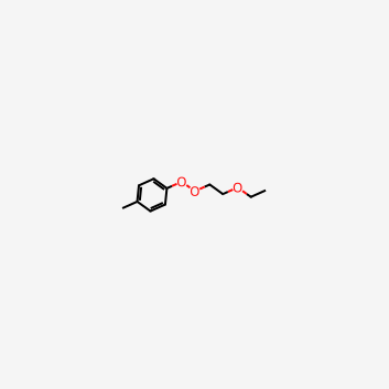 CCOCCOOc1ccc(C)cc1